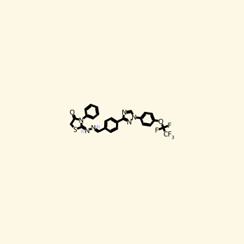 O=C1CS/C(=N/N=C/c2ccc(-c3ncn(-c4ccc(OC(F)(F)C(F)(F)F)cc4)n3)cc2)N1c1ccccc1